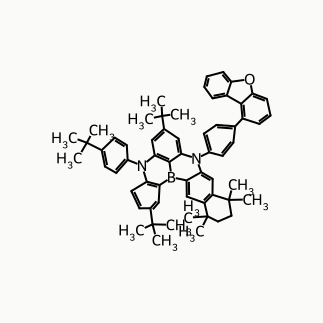 CC(C)(C)c1ccc(N2c3ccc(C(C)(C)C)cc3B3c4cc5c(cc4N(c4ccc(-c6cccc7oc8ccccc8c67)cc4)c4cc(C(C)(C)C)cc2c43)C(C)(C)CCC5(C)C)cc1